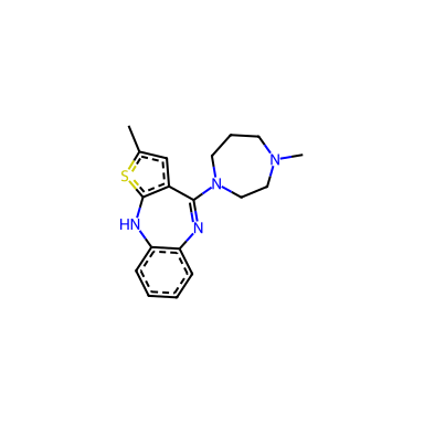 Cc1cc2c(s1)Nc1ccccc1N=C2N1CCCN(C)CC1